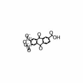 O=C(O)c1ccc2c(c1)C(=O)c1cc([N+](=O)[O-])c([N+](=O)[O-])cc1C2=O